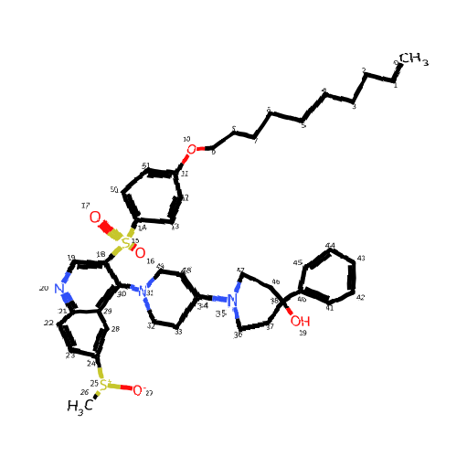 CCCCCCCCCCOc1ccc(S(=O)(=O)c2cnc3ccc([S+](C)[O-])cc3c2N2CCC(N3CCC(O)(c4ccccc4)CC3)CC2)cc1